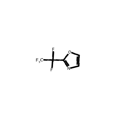 FC(F)(F)C(F)(F)c1ncco1